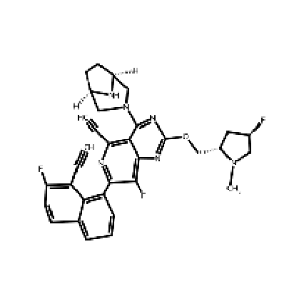 C#Cc1c(F)ccc2cccc(-c3nc(C#C)c4c(N5C[C@H]6CC[C@@H](C5)N6)nc(OC[C@@H]5C[C@@H](F)CN5C)nc4c3F)c12